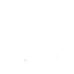 COc1c(F)c(C)cc(-c2c(C(=O)O)sc3cc(F)ccc23)c1F